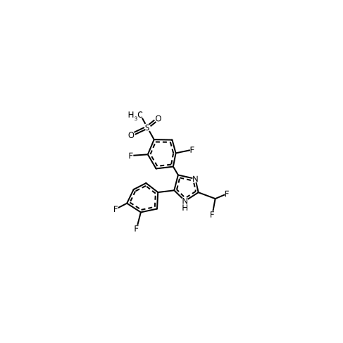 CS(=O)(=O)c1cc(F)c(-c2nc(C(F)F)[nH]c2-c2ccc(F)c(F)c2)cc1F